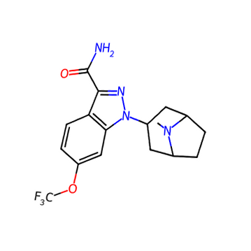 CN1C2CCC1CC(n1nc(C(N)=O)c3ccc(OC(F)(F)F)cc31)C2